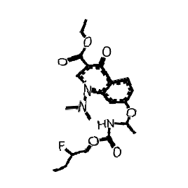 CCOC(=O)c1cn(N(C)C)c2cc(OC(C)NC(=O)OCC(F)CC)ccc2c1=O